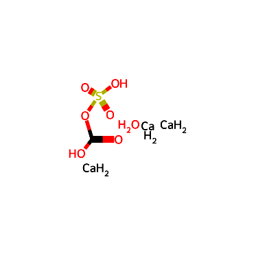 O.O=C(O)OS(=O)(=O)O.[CaH2].[CaH2].[CaH2]